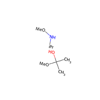 COC(C)(C)O.CONC(C)C